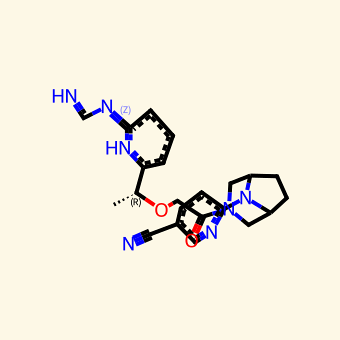 C[C@@H](OCC(=O)N1CC2CCC(C1)N2c1ccc(C#N)cn1)c1ccc/c(=N/C=N)[nH]1